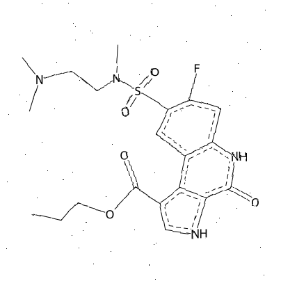 CCCOC(=O)c1c[nH]c2c(=O)[nH]c3cc(F)c(S(=O)(=O)N(C)CCN(C)C)cc3c12